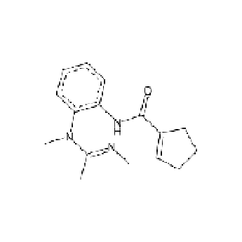 CN=C(C)N(C)c1ccccc1NC(=O)C1=CCCC1